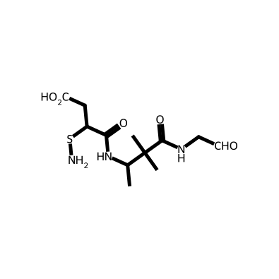 CC(NC(=O)C(CC(=O)O)SN)C(C)(C)C(=O)NCC=O